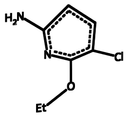 CCOc1nc(N)ccc1Cl